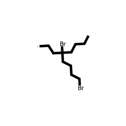 [CH2]CCC(Br)(CCCC)CCCCBr